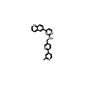 Cc1cc(-c2ccc(CNc3nccc(-c4ccc5ncccc5c4)n3)cn2)ccn1